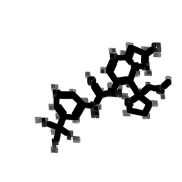 COCC1(c2c(NC(=O)Nc3cncc(C(F)(F)F)c3)cnc3cc(Cl)nn23)CCCO1